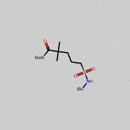 CNC(=O)C(C)(C)CCCS(=O)(=O)NC(C)(C)C